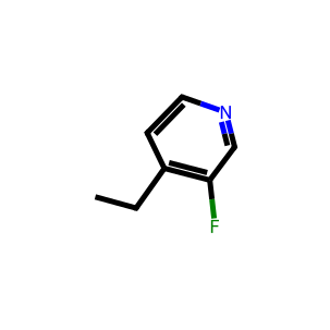 CCc1ccncc1F